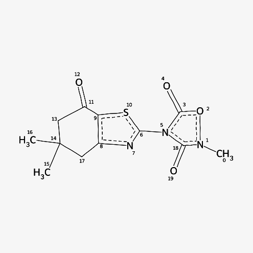 Cn1oc(=O)n(-c2nc3c(s2)C(=O)CC(C)(C)C3)c1=O